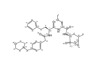 COC[C@H](NC(=O)[C@H](CCc1ccccc1)NC(=O)Cc1ccc(CN2CCOCC2)cc1)C(=O)N[C@H]1CC(C)C2O[C@@]2(C)C1=O